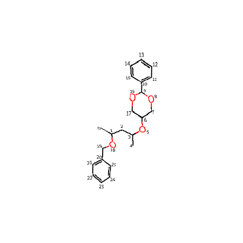 CC(CC(C)OC1COC(c2ccccc2)OC1)OCc1ccccc1